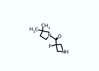 CC1(C)CCN(C(=O)C2(F)CNC2)C1